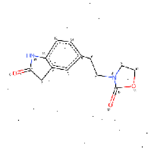 O=C1Cc2cc(CCN3CCOC3=O)ccc2N1